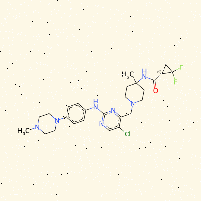 CN1CCN(c2ccc(Nc3ncc(Cl)c(CN4CCC(C)(NC(=O)[C@@H]5CC5(F)F)CC4)n3)cc2)CC1